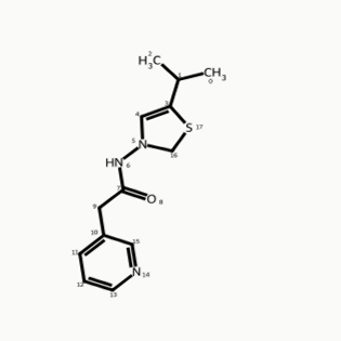 CC(C)C1=CN(NC(=O)Cc2cccnc2)CS1